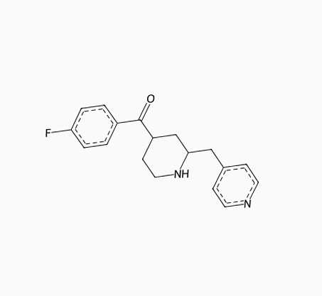 O=C(c1ccc(F)cc1)C1CCNC(Cc2ccncc2)C1